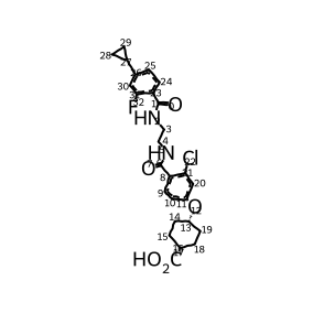 O=C(NCCNC(=O)c1ccc(O[C@H]2CC[C@@H](C(=O)O)CC2)cc1Cl)c1ccc(C2CC2)cc1F